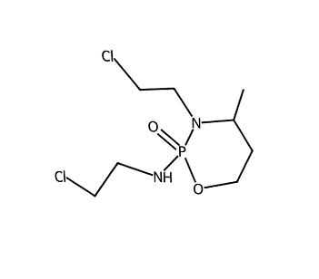 CC1CCOP(=O)(NCCCl)N1CCCl